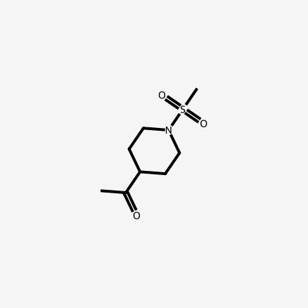 CC(=O)C1CCN(S(C)(=O)=O)CC1